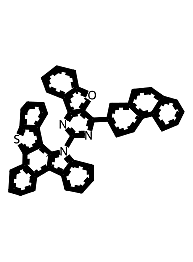 c1ccc2c(c1)ccc1cc(-c3nc(-n4c5ccccc5c5c6ccccc6c6sc7ccccc7c6c54)nc4c3oc3ccccc34)ccc12